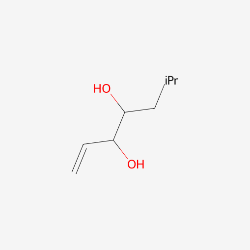 C=CC(O)C(O)CC(C)C